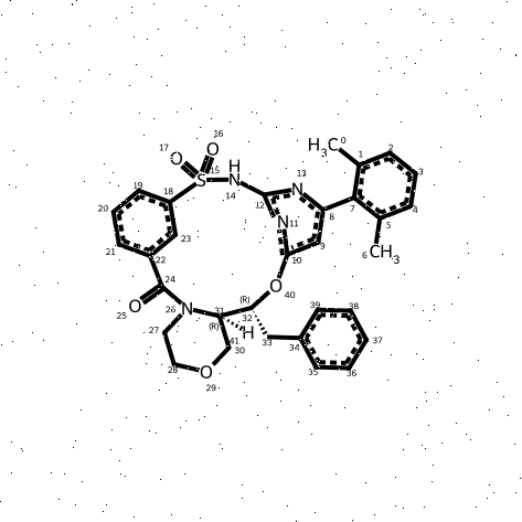 Cc1cccc(C)c1-c1cc2nc(n1)NS(=O)(=O)c1cccc(c1)C(=O)N1CCOC[C@@H]1[C@@H](Cc1ccccc1)O2